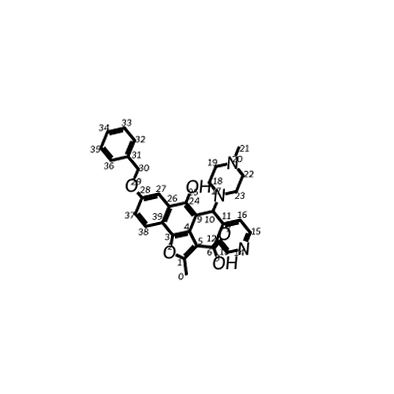 Cc1oc2c(c1C(=O)O)c(C(c1ccncc1)N1CCN(C)CC1)c(O)c1cc(OCc3ccccc3)ccc12